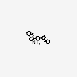 CC1(C2CCC=C(C3CC=C(C4=C(N)CCC5C4SC4CCCCC45)CC3)C2)CCCCC1